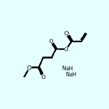 C=CC(=O)OC(=O)CCC(=O)OC.[NaH].[NaH]